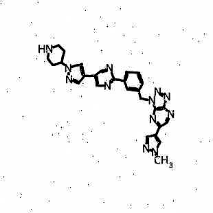 Cn1cc(-c2cnc3nnn(Cc4cccc(-c5ncc(-c6cnn(C7CCNCC7)c6)cn5)c4)c3n2)cn1